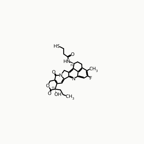 CCC[C@@]1(O)C(=O)OCc2c1cc1n(c2=O)Cc2c-1nc1cc(F)c(C)c3c1c2[C@@H](NC(=O)CCS)CC3